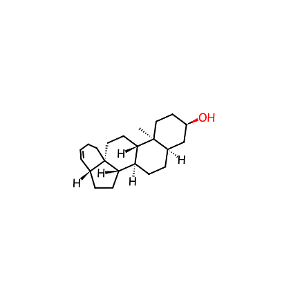 C[C@]12CC[C@@H](O)C[C@H]1CC[C@@H]1[C@@H]2CC[C@@]23CCC=C[C@H]2CC[C@@H]13